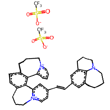 C(=C\c1cc[n+]2c(c1)-c1c(ccc3c1-c1cccc[n+]1CCC3)CCC2)/c1cc2c3c(c1)CCCN3CCC2.O=S(=O)([O-])C(F)(F)F.O=S(=O)([O-])C(F)(F)F